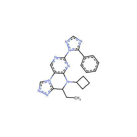 CCC1c2nncn2-c2cnc(-n3ncnc3-c3ccccc3)nc2N1C1CCC1